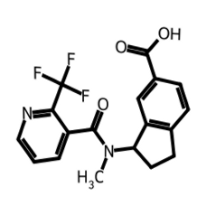 CN(C(=O)c1cccnc1C(F)(F)F)C1CCc2ccc(C(=O)O)cc21